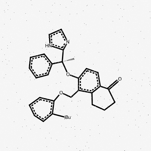 CCC(C)c1ccccc1OCc1c(O[C@@](C)(c2ccccc2)c2ncc[nH]2)ccc2c1CCCC2=O